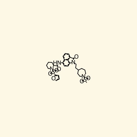 CS(=O)(=O)N1CCCC(CCN2C(=O)c3cccc4c(NC(=O)C5CCCCN5S(=O)(=O)c5ccco5)ccc2c34)CC1